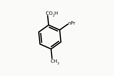 CCCc1cc(C)ccc1C(=O)O